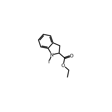 CCOC(=O)C1Cc2ccccc2N1I